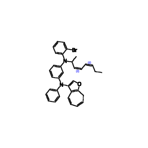 CC/C=C\C=C/C(C)N(c1cccc(N(c2ccccc2)c2coc3c2C=CC=CC3)c1)c1ccccc1Br